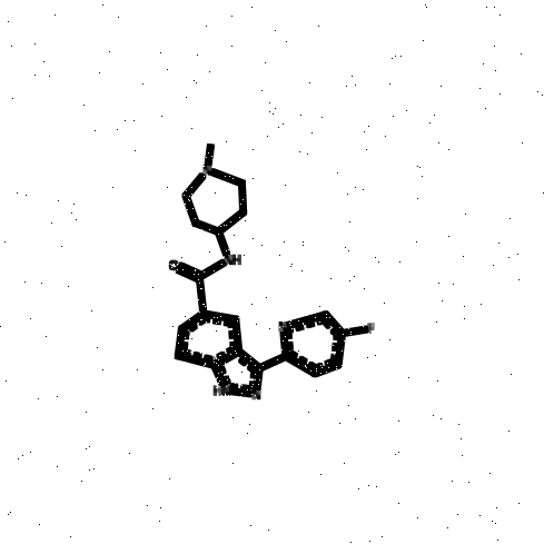 CN1CCC(NC(=O)c2ccc3[nH]nc(-c4ccc(F)cn4)c3c2)CC1